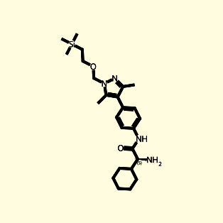 Cc1nn(COCC[Si](C)(C)C)c(C)c1-c1ccc(NC(=O)[C@@H](N)C2CCCCC2)cc1